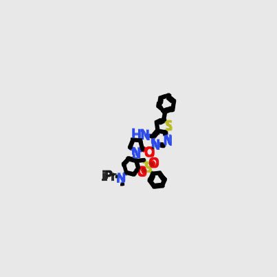 CC(C)N(C)C1CCC(CS(=O)(=O)c2ccccc2)(N2CC[C@H](Nc3ncnc4sc(-c5ccccc5)cc34)C2=O)CC1